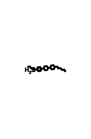 C=CCCC=CC1CCC(C2CCC(c3ccc([SiH2]CCCC)cc3)CC2)CC1